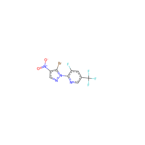 O=[N+]([O-])c1cnn(-c2ncc(C(F)(F)F)cc2F)c1Br